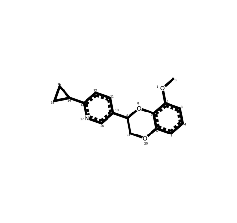 COc1c[c]cc2c1OC(c1ccc(C3CC3)nc1)CO2